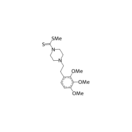 COc1ccc(CCN2CCN(C(=S)SC)CC2)c(OC)c1OC